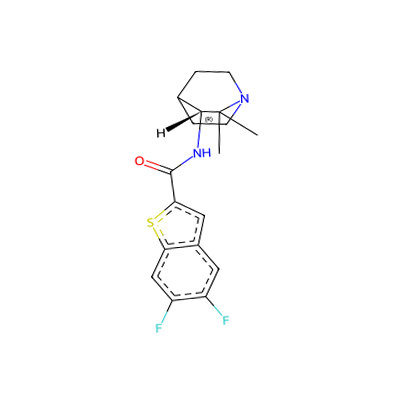 CC1(C)[C@H](NC(=O)c2cc3cc(F)c(F)cc3s2)C2CCN1CC2